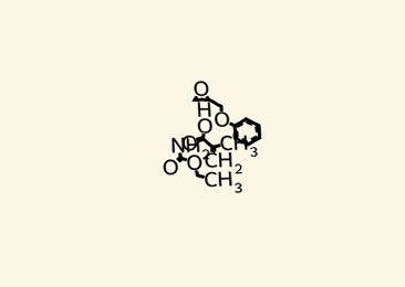 C=C(C)C(=O)O.CCOC(N)=O.c1ccc(OCC2CO2)cc1